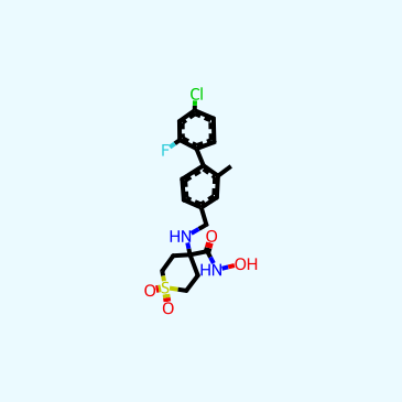 Cc1cc(CNC2(C(=O)NO)CCS(=O)(=O)CC2)ccc1-c1ccc(Cl)cc1F